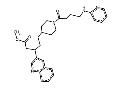 COC(=O)CC(CCC1CCN(C(=O)CCCNc2ccccn2)CC1)c1cnc2ccccc2c1